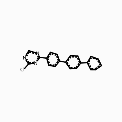 Clc1ncnc(-c2ccc(-c3ccc(-c4ccccc4)cc3)cc2)n1